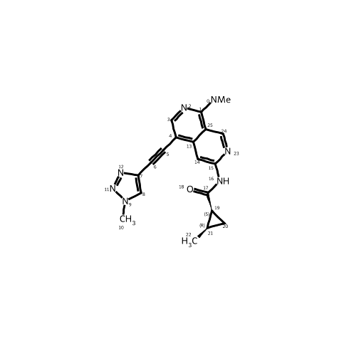 CNc1ncc(C#Cc2cn(C)nn2)c2cc(NC(=O)[C@H]3C[C@H]3C)ncc12